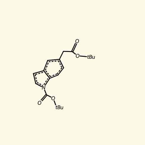 CC(C)(C)OC(=O)Cc1ccc2c(ccn2C(=O)OC(C)(C)C)c1